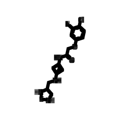 O=C(COc1ccc(Cl)c(F)c1)NC12CC(NCC3CNSN3)(C1)C2